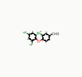 O=Cc1ccc(Oc2ccc(F)cc2F)c(Br)c1